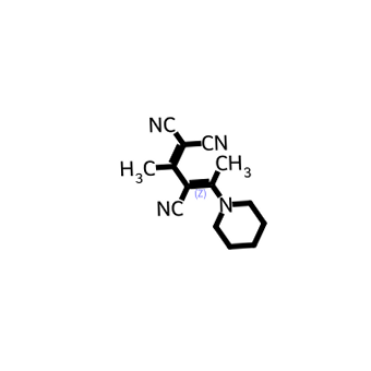 CC(=C(C#N)C#N)/C(C#N)=C(\C)N1CCCCC1